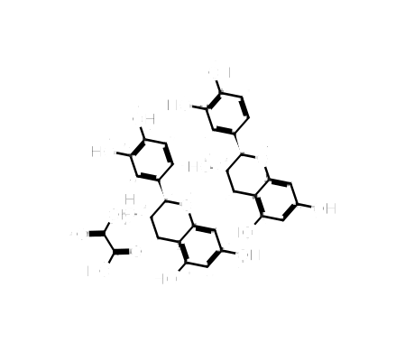 O=C(O)C(=O)O.Oc1cc(O)c2c(c1)O[C@H](c1ccc(O)c(O)c1)[C@@H](O)C2.Oc1cc(O)c2c(c1)O[C@H](c1ccc(O)c(O)c1)[C@@H](O)C2